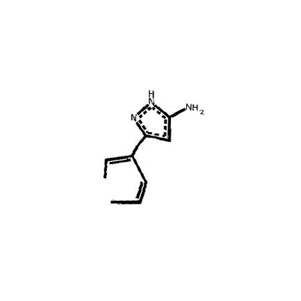 C/C=C\C(=C/C)c1cc(N)[nH]n1